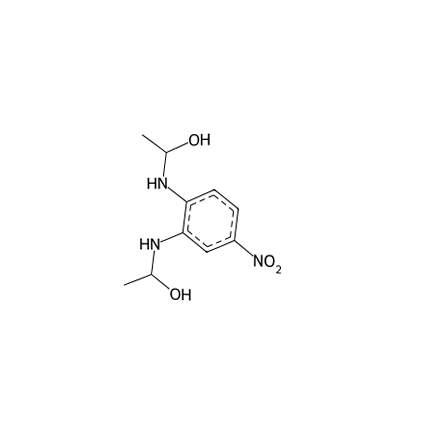 CC(O)Nc1ccc([N+](=O)[O-])cc1NC(C)O